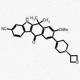 COc1cc2c(cc1C1=CCN(C3COC3)CC1)C(=O)c1c([nH]c3cc(C#N)ccc13)C2(C)C